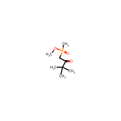 COP(C)(=O)CC(=O)C(C)(C)C